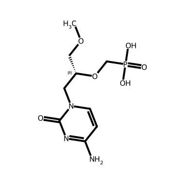 COC[C@@H](Cn1ccc(N)nc1=O)OCP(=O)(O)O